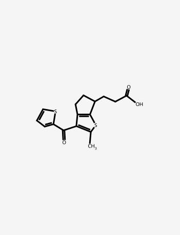 Cc1sc2c(c1C(=O)c1cccs1)CCC2CCC(=O)O